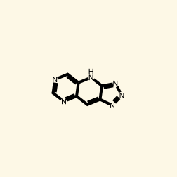 c1ncc2[nH]c3nnnc-3cc2n1